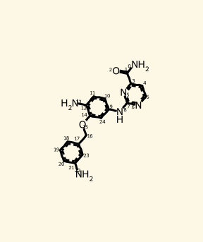 NC(=O)c1ccnc(Nc2ccc(N)c(OCc3cccc(N)c3)c2)n1